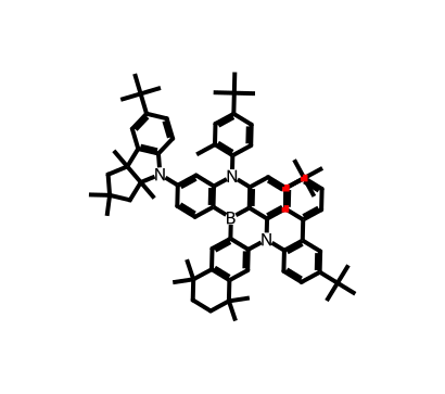 Cc1cc(C(C)(C)C)ccc1N1c2cc(N3c4ccc(C(C)(C)C)cc4C4(C)CC(C)(C)CC34C)ccc2B2c3cc4c(cc3N(c3ccc(C(C)(C)C)cc3-c3ccccc3)c3cc(C(C)(C)C)cc1c32)C(C)(C)CCC4(C)C